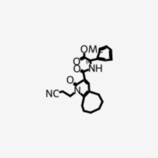 COC(=O)[C@H](NC(=O)c1cc2c(n(CCC#N)c1=O)CCCCCC2)c1ccccc1